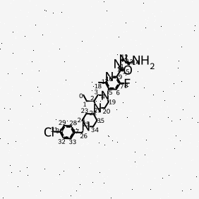 CC[C@H]1CN(c2cc(F)c(-c3nnc(N)o3)nc2C)CCN1C1CCN(Cc2ccc(Cl)cc2)CC1